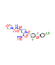 O=C(NO)[C@H]1CN(S(=O)(=O)NC(=O)N2CCOCC2)CCN1S(=O)(=O)c1cc(F)c(Oc2ccc(Cl)cc2)c(F)c1